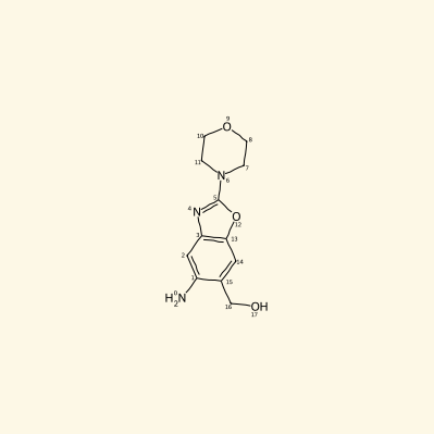 Nc1cc2nc(N3CCOCC3)oc2cc1CO